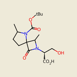 CC1CCC2(C(=O)N([C@@H](CO)C(=O)O)C2C)N1C(=O)OC(C)(C)C